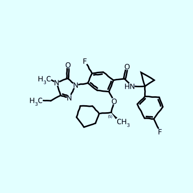 CCc1nn(-c2cc(O[C@@H](C)C3CCCCC3)c(C(=O)NC3(c4ccc(F)cc4)CC3)cc2F)c(=O)n1C